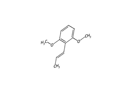 CC=Cc1c(OC)cccc1OC